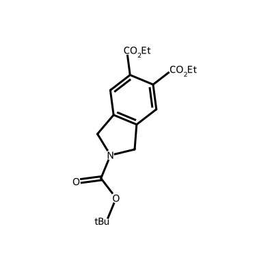 CCOC(=O)c1cc2c(cc1C(=O)OCC)CN(C(=O)OC(C)(C)C)C2